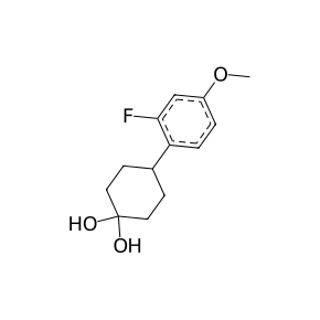 COc1ccc(C2CCC(O)(O)CC2)c(F)c1